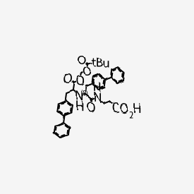 CC(C)(C)C(=O)OCOC(=O)C(Cc1ccc(-c2ccccc2)cc1)N[C@@H](Cc1ccc(-c2ccccc2)cc1)C(=O)NCCC(=O)O